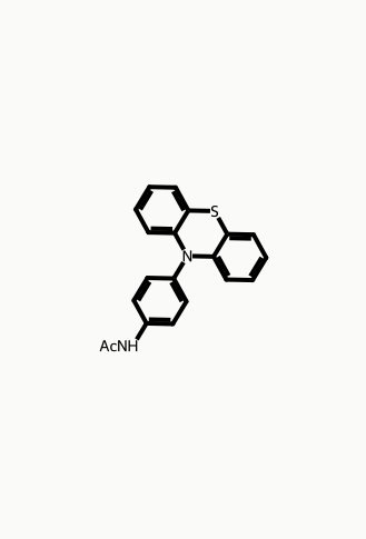 CC(=O)Nc1ccc(N2c3ccccc3Sc3ccccc32)cc1